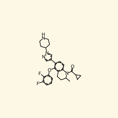 CC1CCc2c(ccc(-c3cnn(C4CCNCC4)c3)c2Oc2cccc(F)c2F)N1C(=O)C1CC1